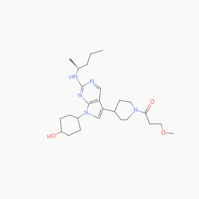 CCC[C@H](C)Nc1ncc2c(C3CCN(C(=O)CCOC)CC3)cn(C3CCC(O)CC3)c2n1